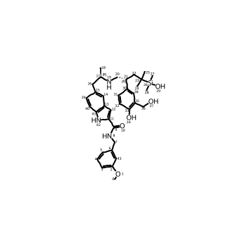 COc1cccc(CNC(=O)c2cc3cc(C[C@@H](C)NC[C@H](CC(C)(C)[Si](C)(C)O)c4ccc(O)c(CO)c4)ccc3[nH]2)c1